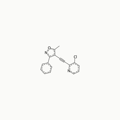 Cc1onc(-c2ccccc2)c1C#Cc1ncccc1Cl